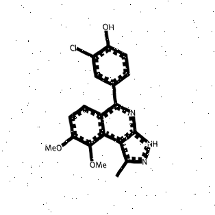 COc1ccc2c(-c3ccc(O)c(Cl)c3)nc3[nH]nc(C)c3c2c1OC